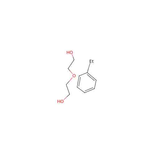 CCc1ccccc1.OCCOCCO